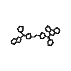 C(=C\c1ccc(N(c2ccccc2)c2cc3ccccc3c3ccccc23)cc1)/c1ccc(N(c2ccccc2)c2ccc3ccccc3c2)cc1